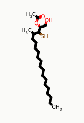 CCCCCCCCCCCCCCCCC(C)C(S)C(CO)OC(C)=O